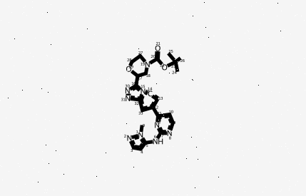 Cn1nccc1Nc1nccc(-c2ccn3c(C4CN(C(=O)OC(C)(C)C)CCO4)nnc3c2)n1